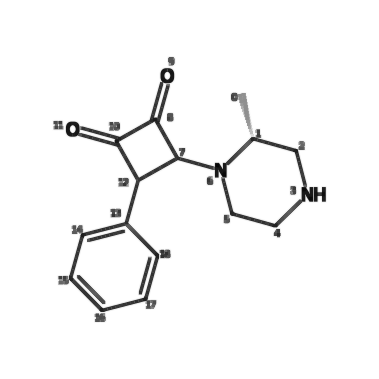 C[C@@H]1CNCCN1C1C(=O)C(=O)C1c1ccccc1